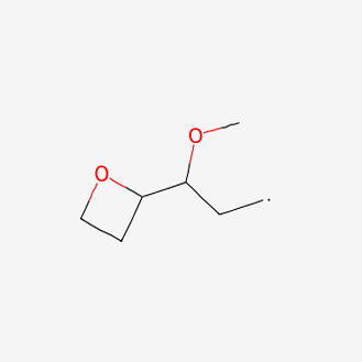 [CH2]CC(OC)C1CCO1